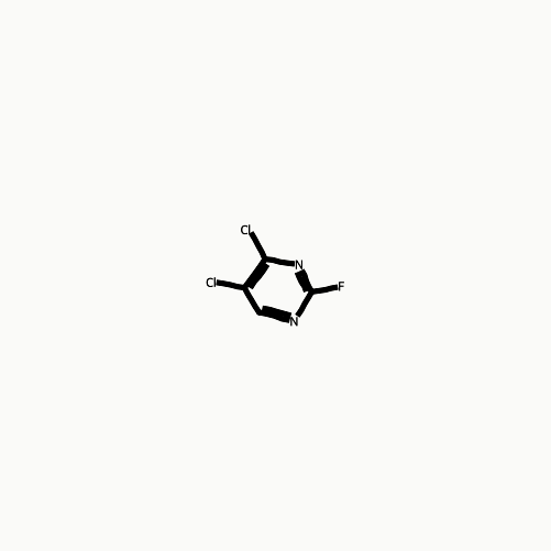 Fc1ncc(Cl)c(Cl)n1